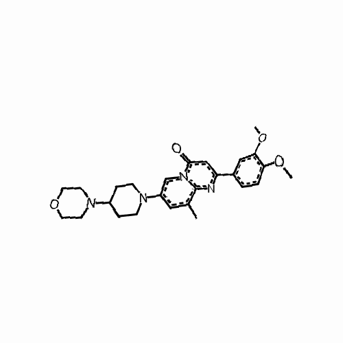 COc1ccc(-c2cc(=O)n3cc(N4CCC(N5CCOCC5)CC4)cc(C)c3n2)cc1OC